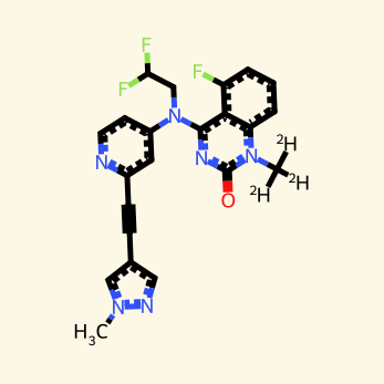 [2H]C([2H])([2H])n1c(=O)nc(N(CC(F)F)c2ccnc(C#Cc3cnn(C)c3)c2)c2c(F)cccc21